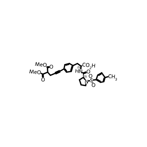 COC(=O)C(CC#Cc1ccc(C[C@H](NC(=O)[C@@H]2CCCN2S(=O)(=O)c2ccc(C)cc2)C(=O)O)cc1)C(=O)OC